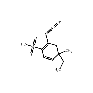 CCC1(C)C=CC(S(=O)(=O)O)=C(N=[N+]=[N-])C1